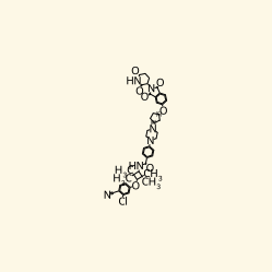 CC1(C)[C@H](NC(=O)c2ccc(N3CCN([C@@H]4CC[C@H](Oc5ccc6c(c5)C(=O)N(C5CCC(=O)NC5=O)C6=O)C4)CC3)cc2)C(C)(C)[C@H]1Oc1ccc(C#N)c(Cl)c1